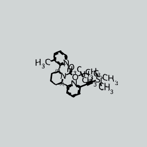 Cc1cccnc1[C@@H]1CCC[C@H](c2cccc(C#C[Si](C)(C)C)n2)N1C(=O)OC(C)(C)C